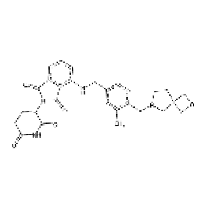 Cc1cc(CNc2cccc3c2C(=O)N(C2CCC(=O)NC2=O)C3=O)ccc1CN1CCC2(COC2)C1